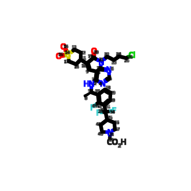 C[C@@H](Nc1ncnc2c1cc(C1CCS(=O)(=O)CC1)c(=O)n2CCCCCl)c1cccc(C(F)(F)C2CCN(C(=O)O)CC2)c1F